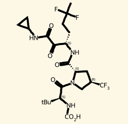 CC(F)(F)CC[C@H](NC(=O)[C@@H]1C[C@@H](C(F)(F)F)CN1C(=O)[C@@H](NC(=O)O)C(C)(C)C)C(=O)C(=O)NC1CC1